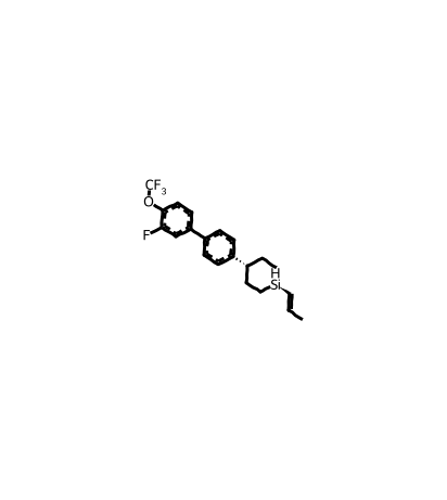 CC=C[Si@H]1CC[C@H](c2ccc(-c3ccc(OC(F)(F)F)c(F)c3)cc2)CC1